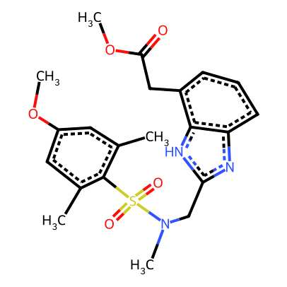 COC(=O)Cc1cccc2nc(CN(C)S(=O)(=O)c3c(C)cc(OC)cc3C)[nH]c12